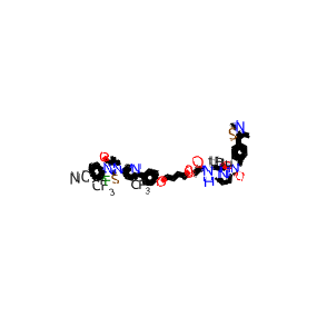 Cc1ncsc1-c1ccc(CNC(=O)[C@@H]2CCCN2C(=O)C(NC(=O)COCCCCOc2ccc(-c3ncc(N4C(=S)N(c5ccc(C#N)c(C(F)(F)F)c5F)C(=O)C4(C)C)cc3C(F)(F)F)cc2)C(C)(C)C)cc1